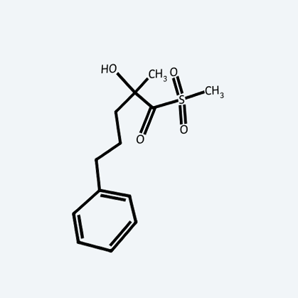 CC(O)(CCCc1ccccc1)C(=O)S(C)(=O)=O